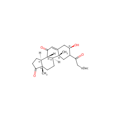 CCCCCCCCCCCC(=O)C1C[C@@]2(C)C(=CC(=O)[C@@H]3[C@@H]2CC[C@]2(C)C(=O)CC[C@@H]32)C[C@H]1O